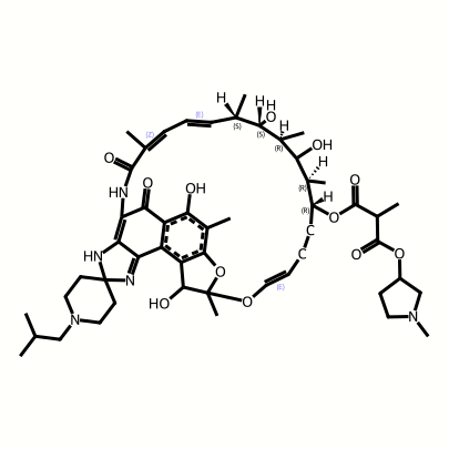 C/C1=C/C=C/[C@H](C)[C@H](O)[C@@H](C)C(O)[C@@H](C)[C@H](OC(=O)C(C)C(=O)OC2CCN(C)C2)CC/C=C/OC2(C)Oc3c(C)c(O)c4c(c3C2O)C2=NC3(CCN(CC(C)C)CC3)NC2=C(NC1=O)C4=O